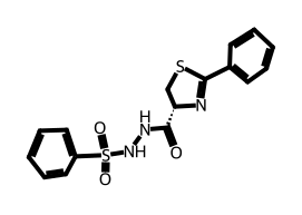 O=C(NNS(=O)(=O)c1ccccc1)[C@@H]1CSC(c2ccccc2)=N1